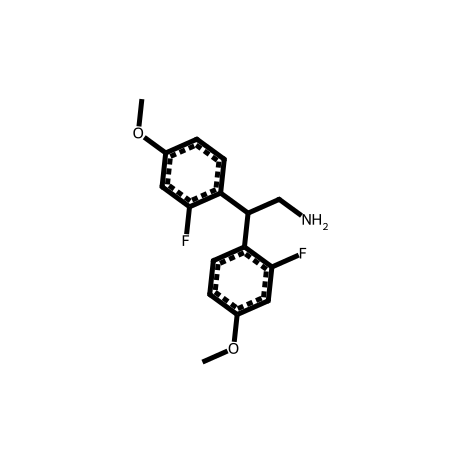 COc1ccc(C(CN)c2ccc(OC)cc2F)c(F)c1